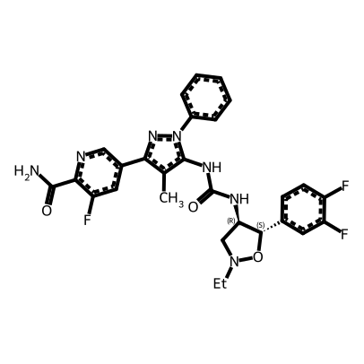 CCN1C[C@@H](NC(=O)Nc2c(C)c(-c3cnc(C(N)=O)c(F)c3)nn2-c2ccccc2)[C@H](c2ccc(F)c(F)c2)O1